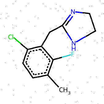 Cc1ccc(Cl)c(CC2=NCCN2)c1F